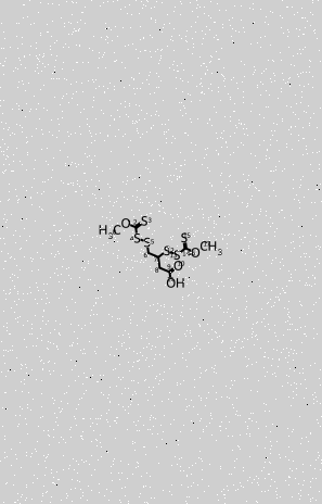 COC(=S)SSCC(CC(=O)O)SSC(=S)OC